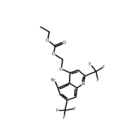 CCOC(=O)OCOc1cc(C(F)(F)F)nc2cc(C(F)(F)F)cc(Br)c12